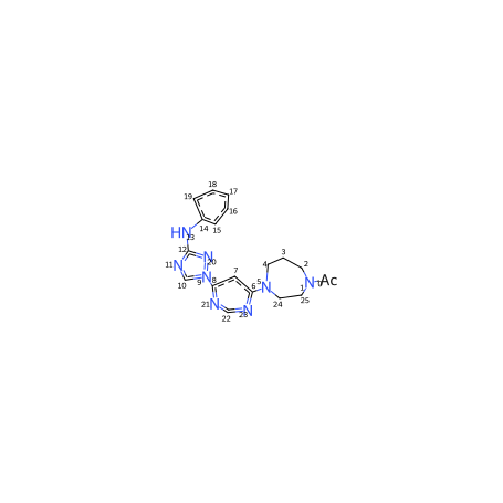 CC(=O)N1CCCN(c2cc(-n3cnc(Nc4ccccc4)n3)ncn2)CC1